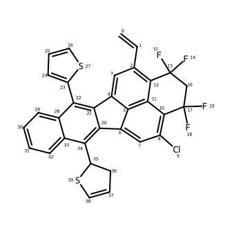 C=Cc1cc2c3c(cc(Cl)c4c3c1C(F)(F)CC4(F)F)-c1c-2c(-c2cccs2)c2ccccc2c1C1CC=CS1